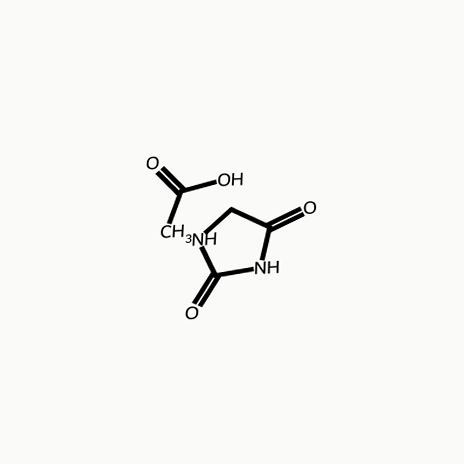 CC(=O)O.O=C1CNC(=O)N1